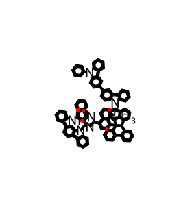 Cc1cccc2c(-c3nc(-c4ccccc4)nc(-n4c5ccccc5c5ccc6c7ccccc7n(-c7ccccc7)c6c54)n3)ccc(C34c5ccccc5-c5ccccc5C3c3cccc5c(-n6c7ccccc7c7cc(-c8ccc9c(c8)c8ccccc8n9-c8ccccc8)ccc76)ccc4c35)c12